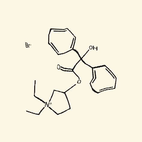 CC[N+]1(CC)CCC(OC(=O)C(O)(c2ccccc2)c2ccccc2)C1.[Br-]